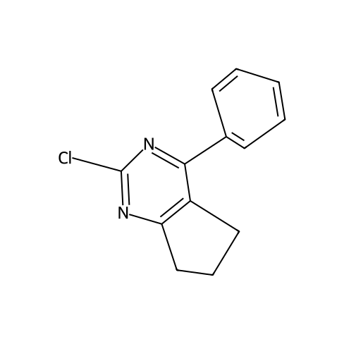 Clc1nc2c(c(-c3ccccc3)n1)CCC2